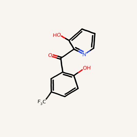 O=C(c1cc(C(F)(F)F)ccc1O)c1ncccc1O